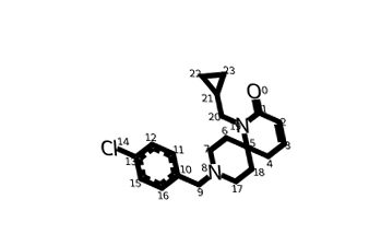 O=C1C=CCC2(CCN(Cc3ccc(Cl)cc3)CC2)N1CC1CC1